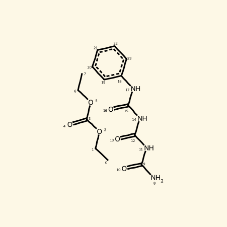 CCOC(=O)OCC.NC(=O)NC(=O)NC(=O)Nc1ccccc1